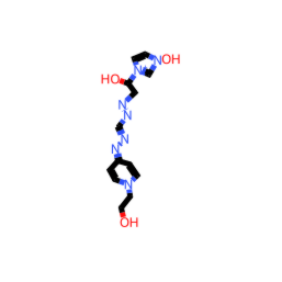 OCCn1ccc(=NN=CN=NCC(O)[n+]2ccn(O)c2)cc1